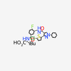 CCC(C)[C@H](NC(=O)c1ccc(F)c(CNC(=O)c2cn(-c3ccccc3)nc2-c2ccc(Cl)s2)c1)C(=O)O